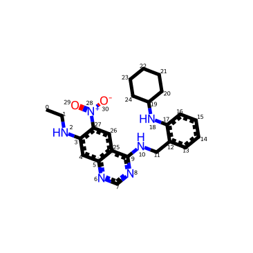 CCNc1cc2ncnc(NCc3ccccc3NC3CCCCC3)c2cc1[N+](=O)[O-]